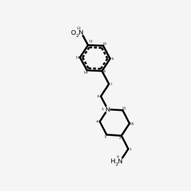 NCC1CCN(CCc2ccc([N+](=O)[O-])cc2)CC1